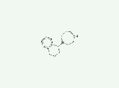 c1ccc2c(c1)CCCC2N1CCCNCC1